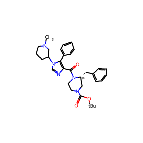 CN1CCCC(n2cnc(C(=O)N3CCN(C(=O)OC(C)(C)C)C[C@H]3Cc3ccccc3)c2-c2ccccc2)C1